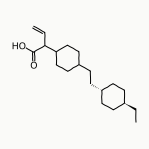 C=CC(C(=O)O)C1CCC(CC[C@H]2CC[C@H](CC)CC2)CC1